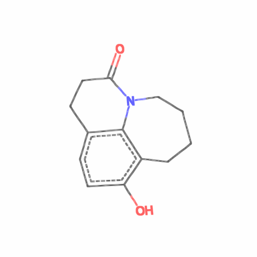 O=C1CCc2ccc(O)c3c2N1CCCC3